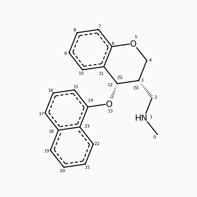 CNC[C@H]1COc2ccccc2[C@H]1Oc1cccc2ccccc12